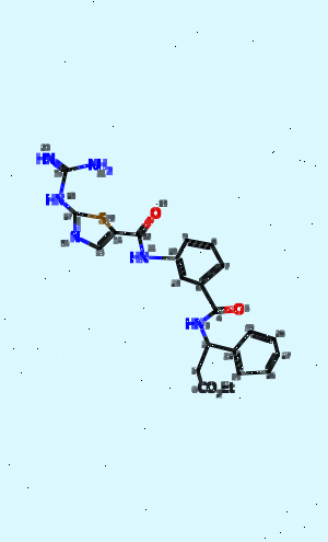 CCOC(=O)CC(NC(=O)c1cccc(NC(=O)c2cnc(NC(=N)N)s2)c1)c1ccccc1